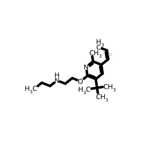 C/C=C\c1cc(C(C)(C)C)c(OCCNCCC)nc1C